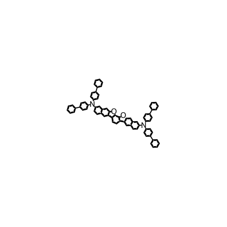 c1ccc(-c2ccc(N(c3ccc(-c4ccccc4)cc3)c3ccc4cc5c(cc4c3)oc3c5ccc4c5cc6ccc(N(c7ccc(-c8ccccc8)cc7)c7ccc(-c8ccccc8)cc7)cc6cc5oc43)cc2)cc1